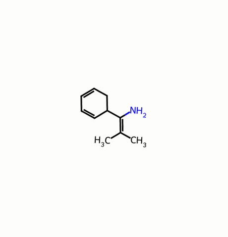 CC(C)=C(N)C1C=CC=CC1